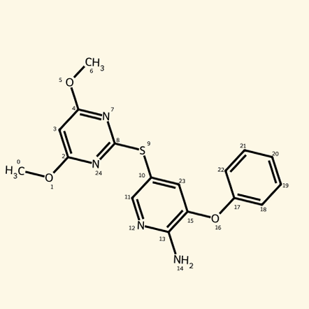 COc1cc(OC)nc(Sc2cnc(N)c(Oc3ccccc3)c2)n1